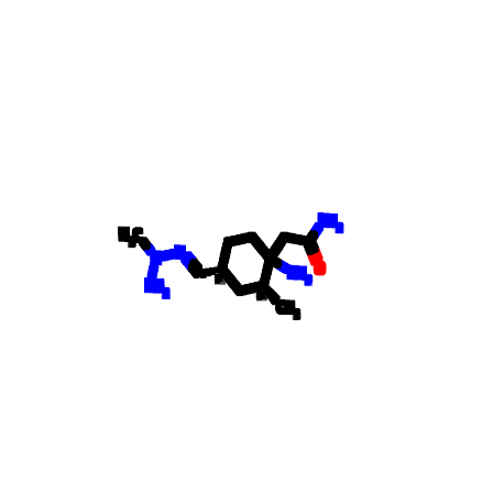 C[C@H]1C[C@H](C=NN(C)N)CCC1(N)CC(N)=O